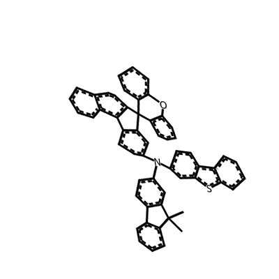 CC1(C)c2ccccc2-c2ccc(N(c3ccc4c(c3)C3(c5ccccc5Oc5ccccc53)c3ccc5ccccc5c3-4)c3ccc4c(c3)sc3ccccc34)cc21